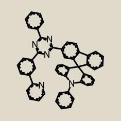 c1ccc(-c2nc(-c3cccc(-c4ccccn4)c3)nc(-c3ccc4c(c3)C3(c5ccccc5-4)c4ccccc4N(c4ccccc4)c4ccccc43)n2)cc1